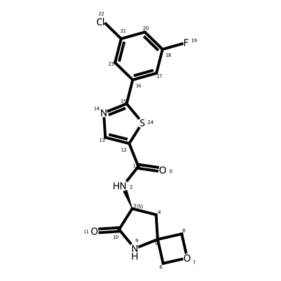 O=C(N[C@H]1CC2(COC2)NC1=O)c1cnc(-c2cc(F)cc(Cl)c2)s1